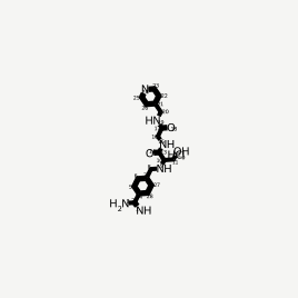 Cl.N=C(N)c1ccc(CNC(CO)C(=O)NCC(=O)NCc2ccncc2)cc1